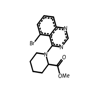 COC(=O)C1CCCCN1c1ncnc2cccc(Br)c12